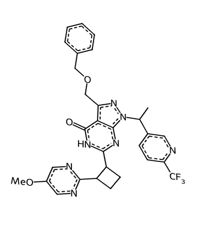 COc1cnc(C2CCC2c2nc3c(c(COCc4ccccc4)nn3C(C)c3ccc(C(F)(F)F)nc3)c(=O)[nH]2)nc1